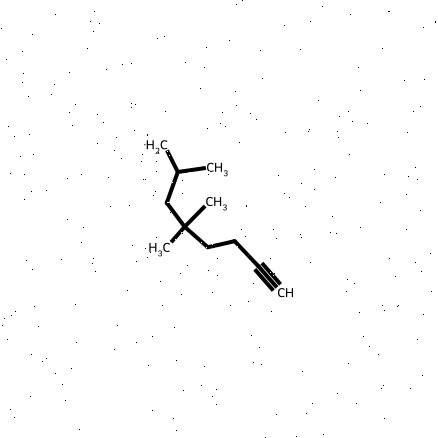 C#CCCC(C)(C)CC([CH2])C